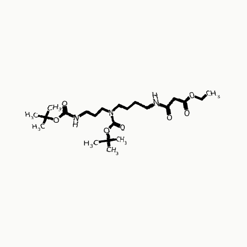 CCOC(=O)CC(=O)NCCCCN(CCCNC(=O)OC(C)(C)C)C(=O)OC(C)(C)C